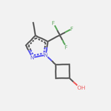 Cc1cnn(C2CC(O)C2)c1C(F)(F)F